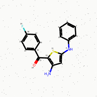 Nc1cc(Nc2ccccc2)sc1C(=O)c1ccc(F)cc1